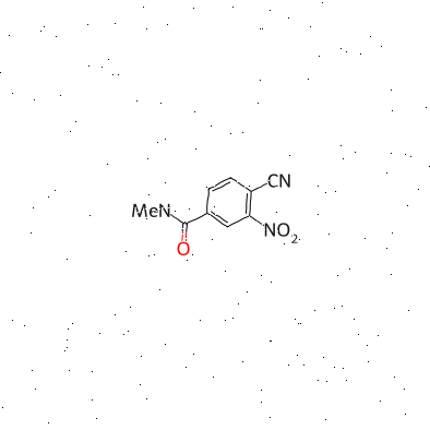 CNC(=O)c1ccc(C#N)c([N+](=O)[O-])c1